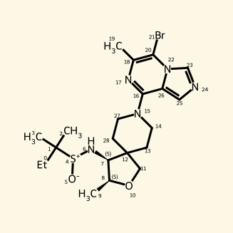 CCC(C)(C)[S+]([O-])N[C@@H]1[C@H](C)OCC12CCN(c1nc(C)c(Br)n3cncc13)CC2